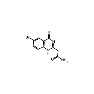 NC(=O)Cc1nc(=S)c2cc(Br)ccc2[nH]1